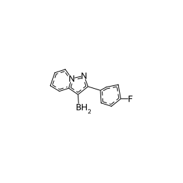 Bc1c(-c2ccc(F)cc2)nn2ccccc12